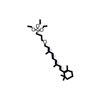 CCO[Si](CCCOC/C=C(C)/C=C/C=C(C)/C=C/C1=C(C)CCCC1(C)C)(OCC)OCC